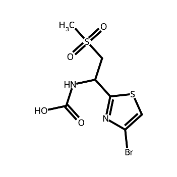 CS(=O)(=O)CC(NC(=O)O)c1nc(Br)cs1